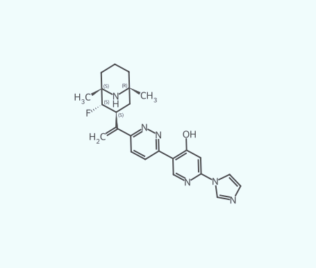 C=C(c1ccc(-c2cnc(-n3ccnc3)cc2O)nn1)[C@@H]1C[C@@]2(C)CCC[C@](C)(N2)[C@H]1F